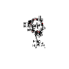 CC(C)(C)OC(=O)NCCCCC(CN1CCNC(=O)c2ccc(c(O)c2O)C(=O)NCCN2CCNC(=O)c3ccc(c(O)c3O)C(=O)NCCN(CCNC(=O)c3ccc(c(O)c3O)C(=O)NCC2)CC1)NC(=O)c1cccc(=O)n1O